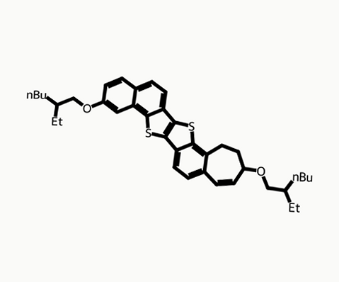 CCCCC(CC)COc1ccc2ccc3c(sc4c5ccc6c(c5sc34)CCC(OCC(CC)CCCC)C=C6)c2c1